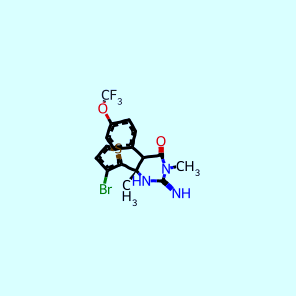 CN1C(=N)N[C@](C)(c2sccc2Br)C(c2ccc(OC(F)(F)F)cc2)C1=O